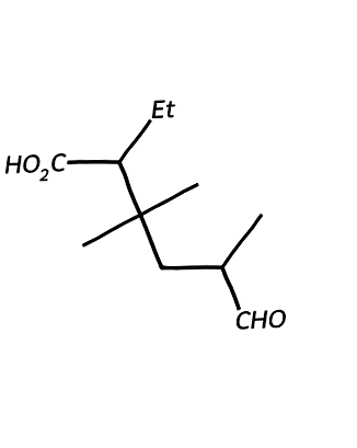 CCC(C(=O)O)C(C)(C)CC(C)C=O